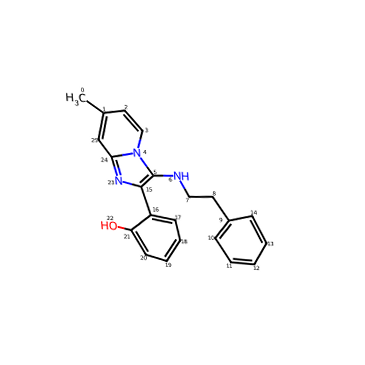 Cc1ccn2c(NCCc3ccccc3)c(-c3ccccc3O)nc2c1